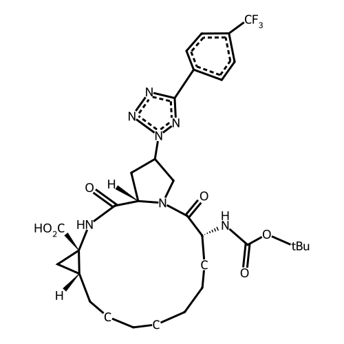 CC(C)(C)OC(=O)N[C@@H]1CCCCCCC[C@@H]2C[C@]2(C(=O)O)NC(=O)[C@@H]2CC(n3nnc(-c4ccc(C(F)(F)F)cc4)n3)CN2C1=O